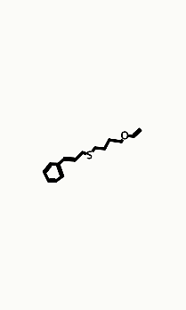 C=COCCCCSC/C=C/c1ccccc1